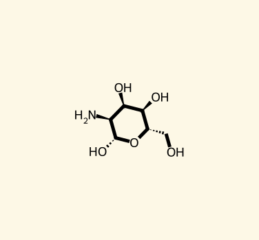 N[C@H]1[C@@H](O)[C@@H](O)[C@H](CO)O[C@@H]1O